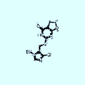 CCn1cnc(Cl)c1CSc1nc2c(c(=O)[nH]1)CCO2